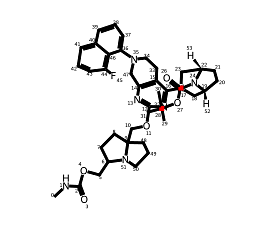 CNC(=O)OCC1CCC2(COc3nc4c(c(N5C[C@H]6CC[C@@H](C5)N6C(=O)OC(C)(C)C)n3)CCN(c3cccc5cccc(F)c35)C4)CCCN12